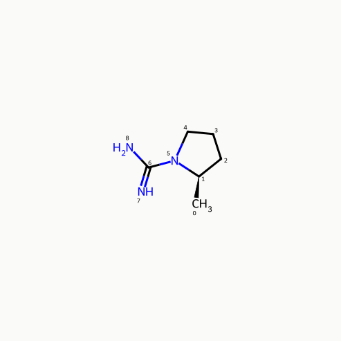 C[C@@H]1CCCN1C(=N)N